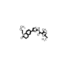 CCc1nc(C)c(C(=O)Nc2nc(-c3ccc4c(c3)CCC(=O)N4CCOC)cs2)o1